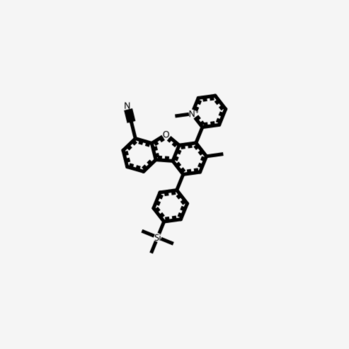 Cc1cc(-c2ccc([Si](C)(C)C)cc2)c2c(oc3c(C#N)cccc32)c1-c1cccc[n+]1C